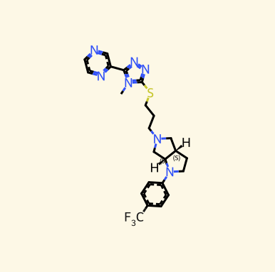 Cn1c(SCCCN2C[C@@H]3CCN(c4ccc(C(F)(F)F)cc4)[C@@H]3C2)nnc1-c1cnccn1